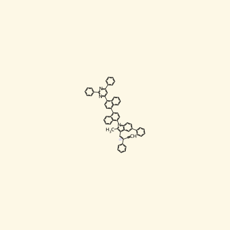 C#C/C(=C\c1c(C)n(-c2ccc(-c3ccc(-c4cc(-c5ccccc5)nc(-c5ccccc5)n4)c4ccccc34)c3ccccc23)c2ccc(-c3ccccc3)cc12)c1ccccc1